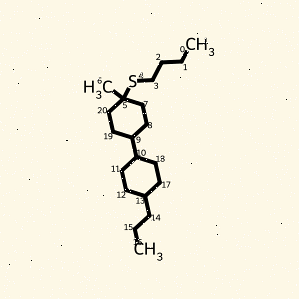 CCCCSC1(C)CCC(C2CCC(CCC)CC2)CC1